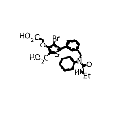 CCNC(=O)N(Cc1cccc(-c2sc(C(=O)O)c(OCC(=O)O)c2Br)c1)C1CCCCC1